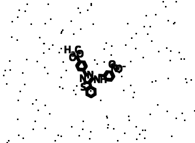 COC(=O)c1ccc(-c2nc(NCc3cccc([N+](=O)[O-])c3)c3c4c(sc3n2)CCCC4)cc1